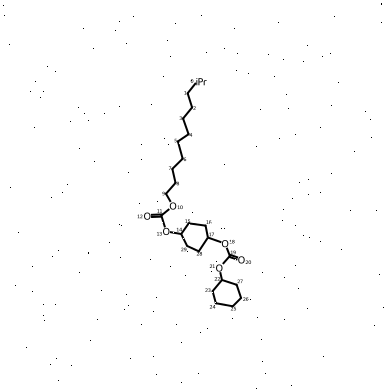 CC(C)CCCCCCCCCOC(=O)OC1CCC(OC(=O)OC2CCCCC2)CC1